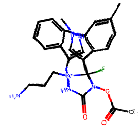 Cc1ccc2c(C3(F)N(OC(=O)C(F)(F)F)C(=O)N[N+]3(CCCN)c3c[nH]c4ccccc34)cn(C)c2c1